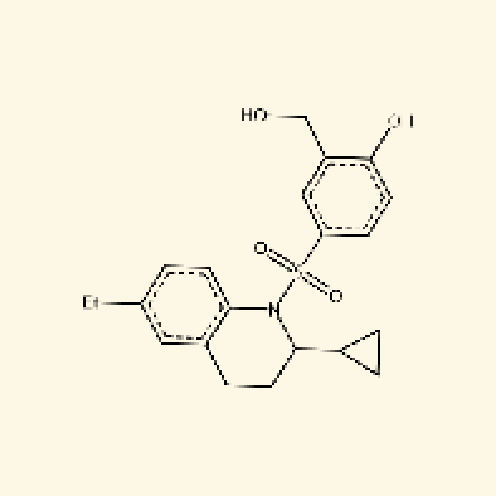 CCc1ccc2c(c1)CCC(C1CC1)N2S(=O)(=O)c1ccc(O)c(CO)c1